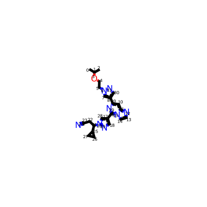 CC(C)OCCn1cc(-c2cc3nccn3c(-c3cnn(C(CC#N)C4CC4)c3)n2)cn1